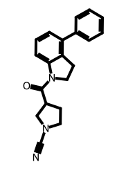 N#CN1CCC(C(=O)N2CCc3c(-c4ccccc4)cccc32)C1